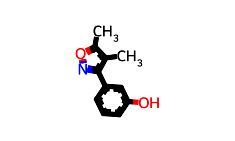 Cc1onc(-c2cccc(O)c2)c1C